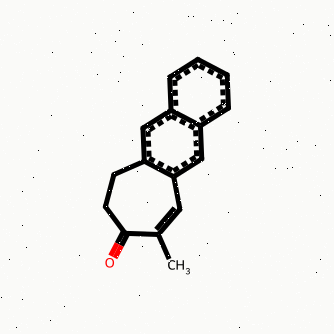 CC1=Cc2cc3ccccc3cc2CCC1=O